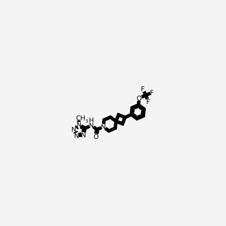 Cn1nnnc1NC(=O)N1CCC2(CC1)CC(c1cccc(OC(F)(F)F)c1)C2